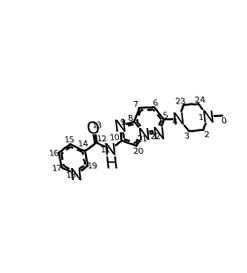 CN1CCN(c2ccc3nc(NC(=O)c4cccnc4)cn3n2)CC1